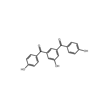 O=C(c1ccc(O)cc1)c1cc(O)cc(C(=O)c2ccc(O)cc2)c1